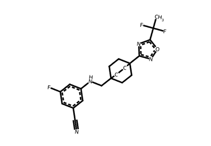 CC(F)(F)c1nc(C23CCC(CNc4cc(F)cc(C#N)c4)(CC2)CC3)no1